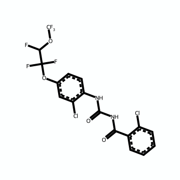 O=C(NC(=O)c1ccccc1Cl)Nc1ccc(OC(F)(F)C(F)OC(F)(F)F)cc1Cl